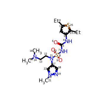 CCc1cc(NC(=O)NS(=O)(=O)N(CCN(C)C)c2cnn(C)c2)c(CC)s1